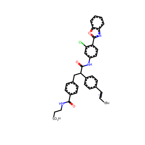 CC(C)(C)/C=C/c1ccc(C(Cc2ccc(C(=O)NCCS(=O)(=O)O)cc2)C(=O)Nc2ccc(-c3nc4ccccc4o3)c(Cl)c2)cc1